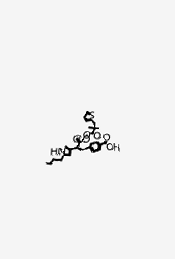 CCCCc1cc(C(Cc2ccc(C(=O)O)cc2)C(=O)OOC(=O)C(C)(C)Cc2cccs2)c[nH]1